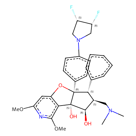 COc1cc2c(c(OC)n1)[C@]1(O)[C@H](O)[C@H](CN(C)C)[C@@H](c3ccccc3)[C@]1(c1ccc(N3C[C@@H](F)[C@@H](F)C3)cc1)O2